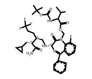 CC(C)C(NC(=O)OC(C)(C)C)C(=O)OCN1C(=O)[C@@H](NC[C@H](CCC(F)(F)F)[C@@H](CC2CC2)C(N)=O)N=C(c2ccccc2)c2cccc(F)c21